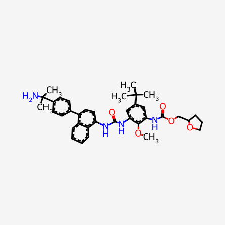 COc1c(NC(=O)Nc2ccc(-c3ccc(C(C)(C)N)cc3)c3ccccc23)cc(C(C)(C)C)cc1NC(=O)OCC1CCCO1